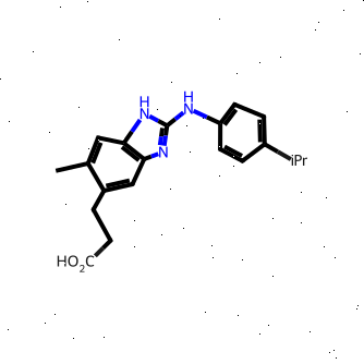 Cc1cc2[nH]c(Nc3ccc(C(C)C)cc3)nc2cc1CCC(=O)O